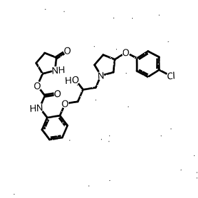 O=C1CCC(OC(=O)Nc2ccccc2OCC(O)CN2CCC(Oc3ccc(Cl)cc3)C2)N1